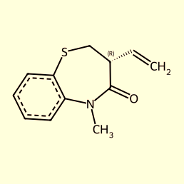 C=C[C@H]1CSc2ccccc2N(C)C1=O